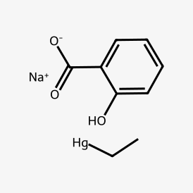 C[CH2][Hg].O=C([O-])c1ccccc1O.[Na+]